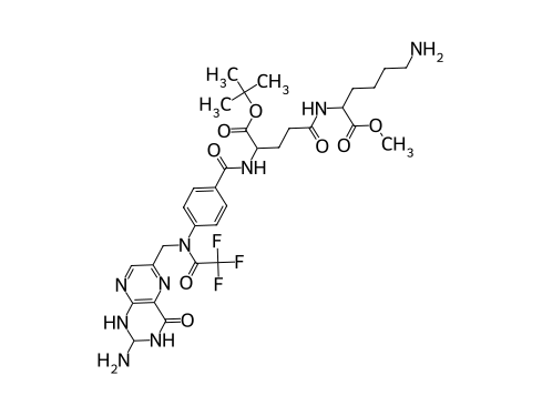 COC(=O)C(CCCCN)NC(=O)CCC(NC(=O)c1ccc(N(Cc2cnc3c(n2)C(=O)NC(N)N3)C(=O)C(F)(F)F)cc1)C(=O)OC(C)(C)C